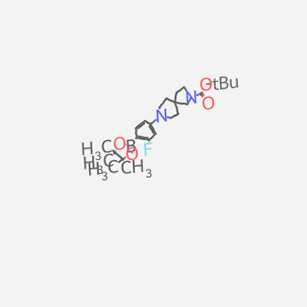 CC(C)(C)OC(=O)N1CCC2(CCN(c3ccc(B4OC(C)(C)C(C)(C)O4)c(F)c3)CC2)C1